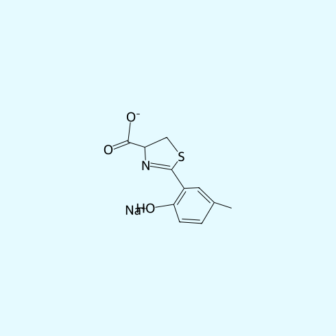 Cc1ccc(O)c(C2=NC(C(=O)[O-])CS2)c1.[Na+]